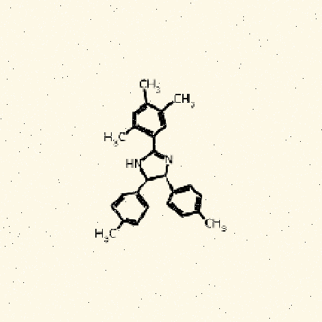 Cc1ccc([C@H]2NC(c3cc(C)c(C)cc3C)=N[C@H]2c2ccc(C)cc2)cc1